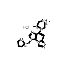 C[C@@H]1CN(c2cc3nncn3c3c2ncn3C[C@@H]2CCCO2)[C@@H](C)CN1.Cl